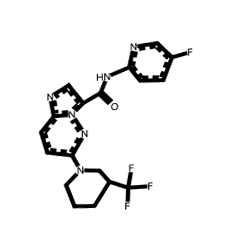 O=C(Nc1ccc(F)cn1)c1cnc2ccc(N3CCCC(C(F)(F)F)C3)nn12